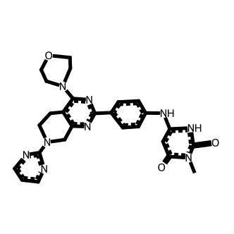 Cn1c(=O)cc(Nc2ccc(-c3nc4c(c(N5CCOCC5)n3)CCN(c3ncccn3)C4)cc2)[nH]c1=O